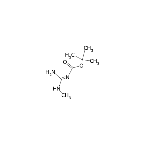 CNC(N)=NC(=O)OC(C)(C)C